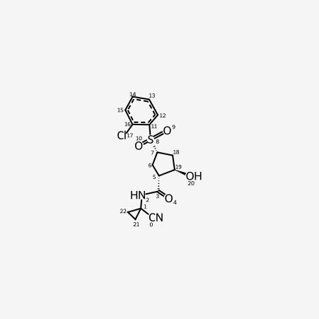 N#CC1(NC(=O)[C@@H]2C[C@H](S(=O)(=O)c3ccccc3Cl)C[C@H]2O)CC1